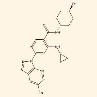 CC[C@H]1CC[C@H](NC(=O)c2cnc(-n3ncc4cc(C#N)cnc43)cc2NC2CC2)CC1